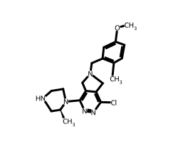 COc1ccc(C)c(CN2Cc3c(Cl)nnc(N4CCNC[C@@H]4C)c3C2)c1